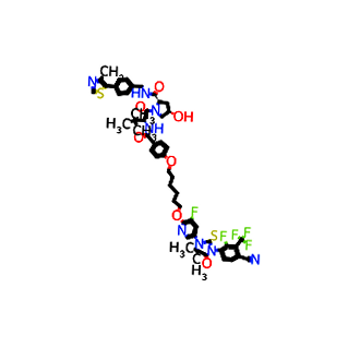 Cc1ncsc1-c1ccc(CNC(=O)[C@@H]2C[C@@H](O)CN2C(=O)[C@@H](NC(=O)c2ccc(OCCCCCCOc3ncc(N4C(=S)N(c5ccc(C#N)c(C(F)(F)F)c5F)C(=O)C4(C)C)cc3F)cc2)C(C)(C)C)cc1